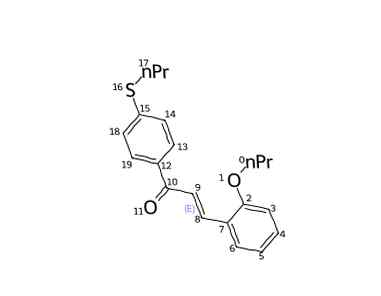 CCCOc1ccccc1/C=C/C(=O)c1ccc(SCCC)cc1